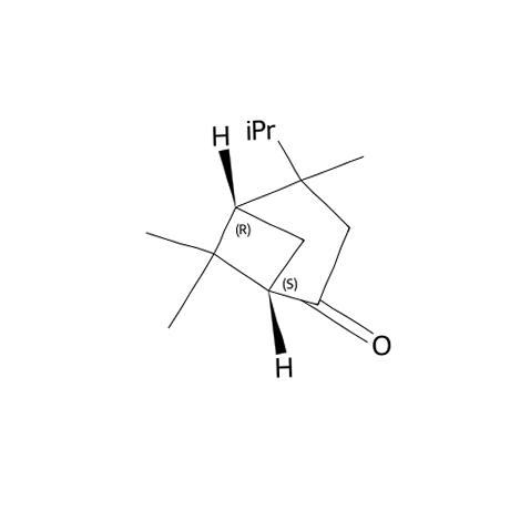 CC(C)C1(C)CC(=O)[C@H]2C[C@@H]1C2(C)C